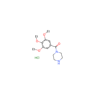 CCOc1cc(C(=O)N2CCNCC2)cc(OCC)c1OCC.Cl